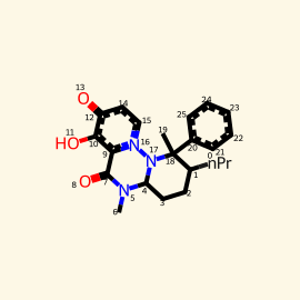 CCCC1CCC2N(C)C(=O)c3c(O)c(=O)ccn3N2C1(C)c1ccccc1